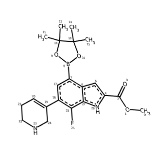 COC(=O)c1cc2c(B3OC(C)(C)C(C)(C)O3)cc(C3=CCCNC3)c(F)c2[nH]1